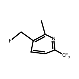 Cc1nc(C(F)(F)F)ccc1CF